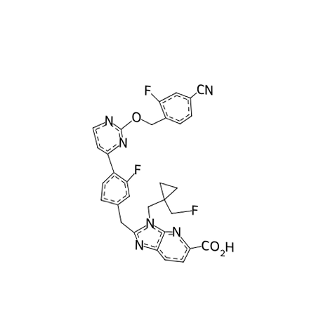 N#Cc1ccc(COc2nccc(-c3ccc(Cc4nc5ccc(C(=O)O)nc5n4CC4(CF)CC4)cc3F)n2)c(F)c1